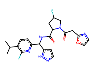 CC(C)c1ccc(C(NC(=O)C2CC(F)CN2C(=O)Cc2ncco2)c2ccn[nH]2)nc1F